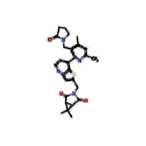 Cc1cc(C(F)(F)F)nc(-c2ccnc3cc(CN4C(=O)C5C(C4=O)C5(C)C)sc23)c1CN1CCCC1=O